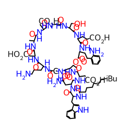 CCC(C)CCCCCCC(=O)NC(Cc1c[nH]c2ccccc12)C(=O)NC(CC(N)=O)C(=O)NC(CC(=O)O)C(=O)NC1C(=O)NCC(=O)NC(CCCN)C(=O)NC(CC(=O)O)C(=O)NC(C)C(=O)NC(CC(=O)O)C(=O)NCC(=O)NC(CO)C(=O)NC(CCC(=O)O)C(=O)NC(CC(=O)c2ccccc2N)C(=O)OC1C